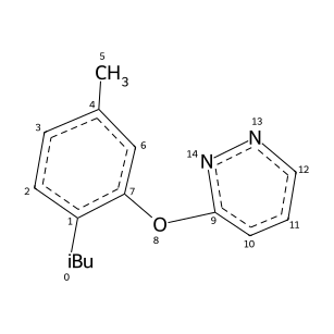 CCC(C)c1ccc(C)cc1Oc1cccnn1